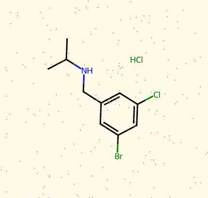 CC(C)NCc1cc(Cl)cc(Br)c1.Cl